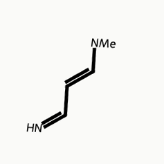 CN/C=C/C=N